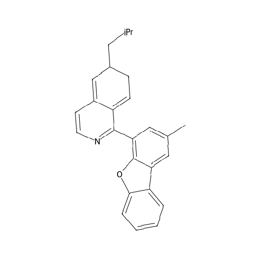 Cc1cc(-c2nccc3c2=CCC(CC(C)C)C=3)c2oc3ccccc3c2c1